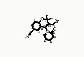 CC1(C)Oc2ccc(C#N)cc2C(n2ccccc2=O)=C1CBr